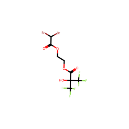 O=C(OCCOC(=O)C(O)(C(F)(F)F)C(F)(F)F)C(Br)Br